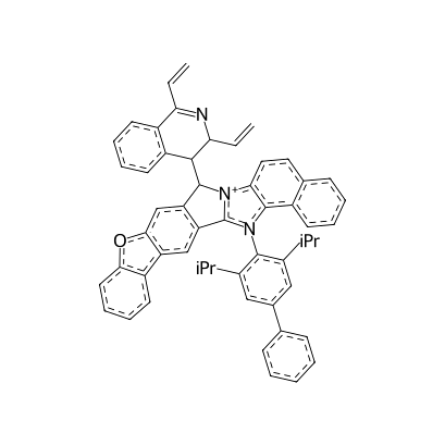 C=CC1=NC(C=C)C(C2c3cc4oc5ccccc5c4cc3-c3n(-c4c(C(C)C)cc(-c5ccccc5)cc4C(C)C)c4c5ccccc5ccc4[n+]32)c2ccccc21